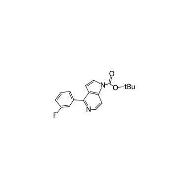 CC(C)(C)OC(=O)n1ccc2c(-c3cccc(F)c3)nccc21